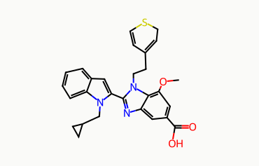 COc1cc(C(=O)O)cc2nc(-c3cc4ccccc4n3CC3CC3)n(CCC3=CCSC=C3)c12